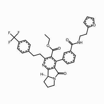 CCOC(=O)c1c(CCc2ccc(C(F)(F)F)cc2)nc2c(c1-c1cccc(C(=O)NCCc3ccco3)c1)C(=O)N1CCC[C@@H]21